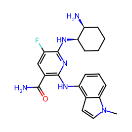 Cn1ccc2c(Nc3nc(N[C@@H]4CCCC[C@@H]4N)c(F)cc3C(N)=O)cccc21